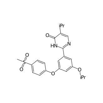 CC(C)Oc1cc(Oc2ccc(S(C)(=O)=O)cc2)cc(-c2ncc(C(C)C)c(=O)[nH]2)c1